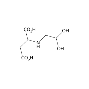 O=C(O)CC(NCC(O)O)C(=O)O